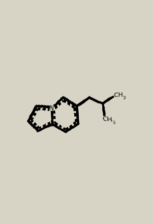 CC(C)Cc1ccc2cccn2c1